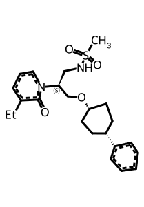 CCc1cccn([C@@H](CNS(C)(=O)=O)CO[C@H]2CC[C@@H](c3ccccc3)CC2)c1=O